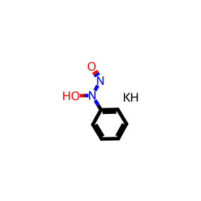 O=NN(O)c1ccccc1.[KH]